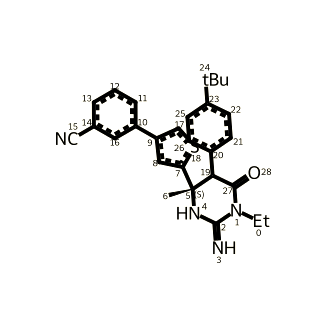 CCN1C(=N)N[C@](C)(c2cc(-c3cccc(C#N)c3)cs2)C(c2ccc(C(C)(C)C)cc2)C1=O